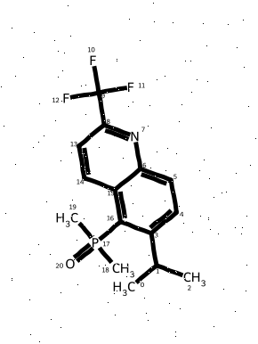 CC(C)c1ccc2nc(C(F)(F)F)ccc2c1P(C)(C)=O